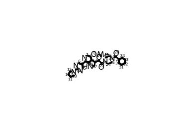 COc1cnc(-c2cnc(-n3cccc3)nc2)c2c1C(C(=O)C(=O)N1CCN(C(=O)c3ccccc3)CC1)CN2